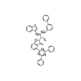 C=CC(C(=N/c1csc2ccccc12)/N=C/c1cccc(-c2ccccc2)c1)C1Oc2cccc(-c3nc(-c4ccccc4)nc(-c4ccccc4)n3)c2C1=C